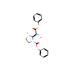 CN1CCN(C(=O)Oc2ccccc2)/C1=C(/C(=O)Oc1ccccc1)[N+](=O)[O-]